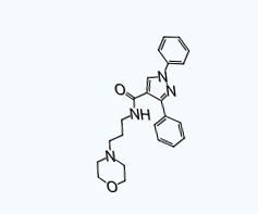 O=C(NCCCN1CCOCC1)c1cn(-c2ccccc2)nc1-c1ccccc1